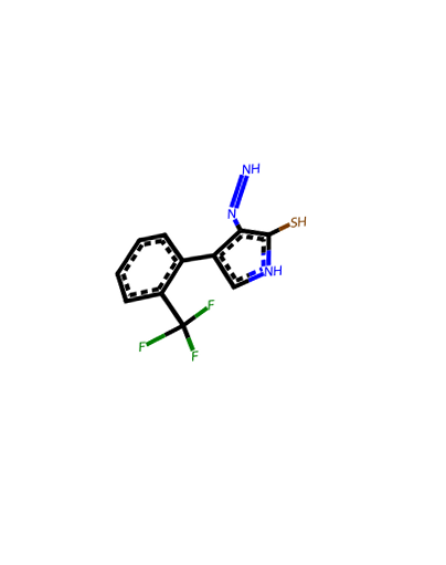 N=Nc1c(-c2ccccc2C(F)(F)F)c[nH]c1S